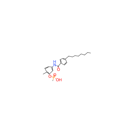 CCCCCCCCc1ccc(C(=O)Nc2ccc(C)c(OP(C)(=O)O)c2)cc1